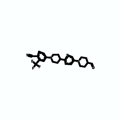 N#Cc1ccc(N2CCC(c3ccc(N4CCC(C=O)CC4)cn3)CC2)cc1C(F)(F)F